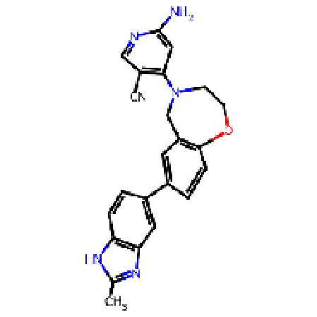 Cc1nc2cc(-c3ccc4c(c3)CN(c3cc(N)ncc3C#N)CCO4)ccc2[nH]1